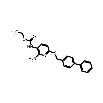 CCOC(=O)Nc1ccc(SCc2ccc(-c3ccccc3)cc2)nc1N